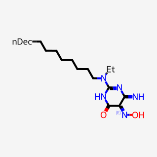 CCCCCCCCCCCCCCCCCCN(CC)C1=NC(=N)/C(=N\O)C(=O)N1